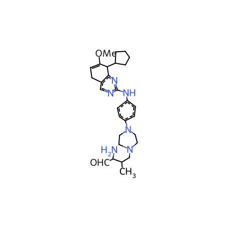 COC1=CCc2cnc(Nc3ccc(N4CCN(CC(C)C(N)C=O)CC4)cc3)nc2C1C1CCCC1